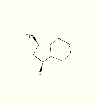 C[C@@H]1C[C@H](C)C2CCNCC21